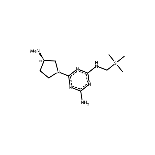 CN[C@@H]1CCN(c2nc(N)nc(NC[Si](C)(C)C)n2)C1